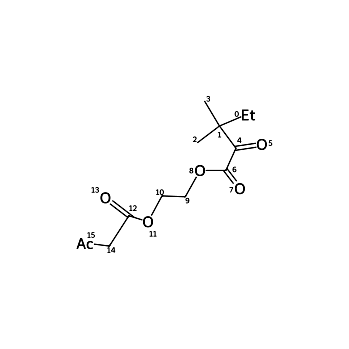 CCC(C)(C)C(=O)C(=O)OCCOC(=O)CC(C)=O